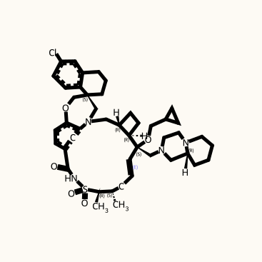 C[C@@H]1[C@@H](C)C/C=C/[C@@](CN2CCN3CCCC[C@@H]3C2)(OCC2CC2)[C@@H]2CC[C@H]2CN2C[C@@]3(CCCc4cc(Cl)ccc43)COc3ccc(cc32)C(=O)NS1(=O)=O